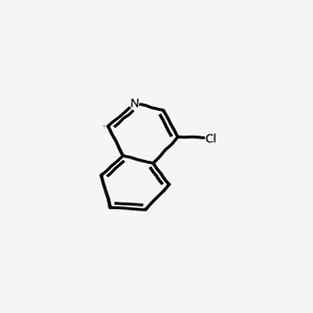 Clc1cn[c]c2ccccc12